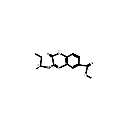 CC[C@H](C)Nc1nc2cc(C(=O)OC)ccc2[nH]c1=O